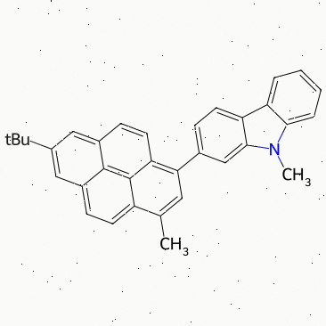 Cc1cc(-c2ccc3c4ccccc4n(C)c3c2)c2ccc3cc(C(C)(C)C)cc4ccc1c2c43